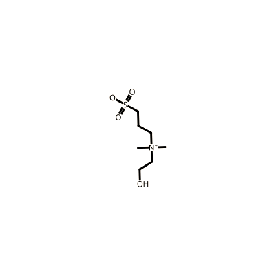 C[N+](C)(CCO)CCCS(=O)(=O)[O-]